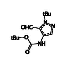 CC(C)(C)OC(=O)Nc1cnn(C(C)(C)C)c1C=O